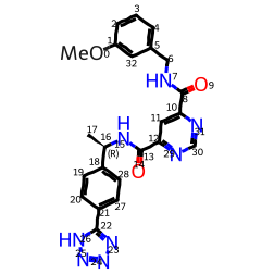 COc1cccc(CNC(=O)c2cc(C(=O)N[C@H](C)c3ccc(-c4nnn[nH]4)cc3)ncn2)c1